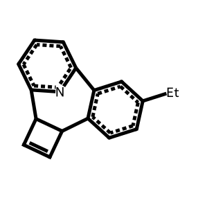 CCc1ccc2c(c1)-c1cccc(n1)C1C=CC21